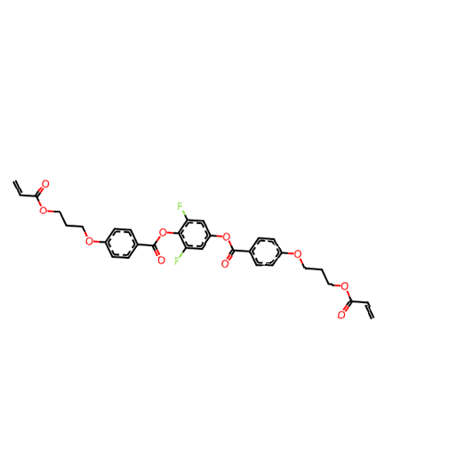 C=CC(=O)OCCCOc1ccc(C(=O)Oc2cc(F)c(OC(=O)c3ccc(OCCCOC(=O)C=C)cc3)c(F)c2)cc1